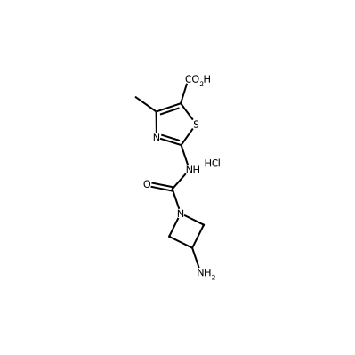 Cc1nc(NC(=O)N2CC(N)C2)sc1C(=O)O.Cl